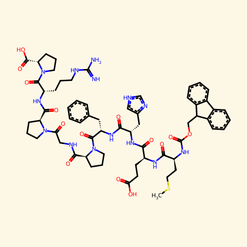 CSCC[C@H](NC(=O)OCC1c2ccccc2-c2ccccc21)C(=O)N[C@@H](CCC(=O)O)C(=O)N[C@@H](Cc1c[nH]cn1)C(=O)N[C@@H](Cc1ccccc1)C(=O)N1CCC[C@H]1C(=O)NCC(=O)N1CCC[C@H]1C(=O)N[C@@H](CCCNC(=N)N)C(=O)N1CCC[C@H]1C(=O)O